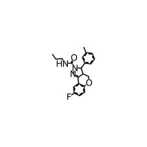 CCCNC(=O)N1N=C2c3cc(F)ccc3OCC2C1c1cccc(C)c1